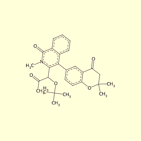 CC(=O)C(OC(C)(C)C)c1c(-c2ccc3c(c2)C(=O)CC(C)(C)O3)c2ccccc2c(=O)n1C